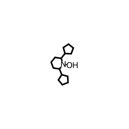 ON1C(C2CCCC2)CCCC1C1CCCC1